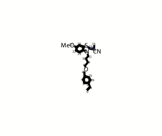 C=Cc1ccc(COCCCCN2/C(=C(/C)C#N)Sc3cc(OC)ccc32)cc1